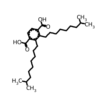 CC(C)CCCCCCCc1c(C(=O)O)ccc(C(=O)O)c1CCCCCCCC(C)C